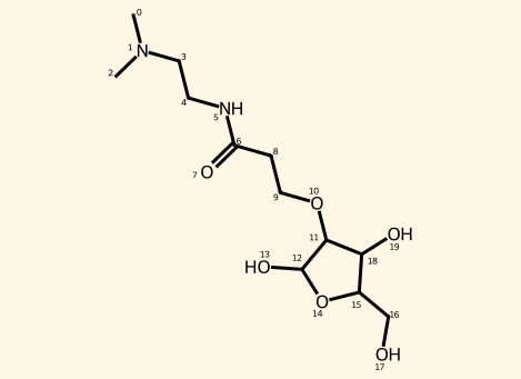 CN(C)CCNC(=O)CCOC1C(O)OC(CO)C1O